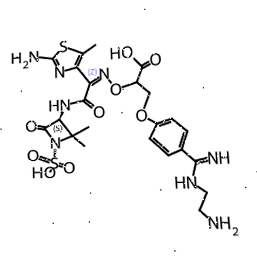 Cc1sc(N)nc1/C(=N/OC(COc1ccc(C(=N)NCCN)cc1)C(=O)O)C(=O)N[C@@H]1C(=O)N(S(=O)(=O)O)C1(C)C